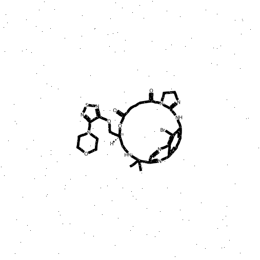 CC1(C)NC[C@@H](COc2nsnc2N2CCOCC2)OC(=O)CCC(=O)N2CCN=C2Nc2ccc3nc1cnc3c2Br